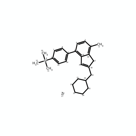 Cc1ccc(-c2ccc([Si](C)(C)C)cc2)c2c1[CH]C(CC1CCCCC1)=C2.[Zr]